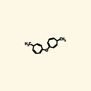 CC1C=CC=C(OC2=CC=CC(C)C=C2)C=C1